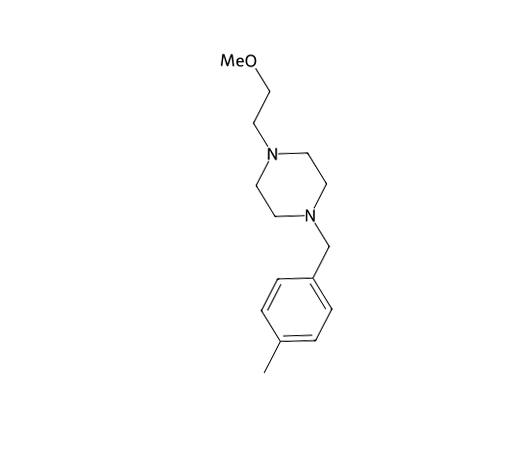 COCCN1CCN(Cc2ccc(C)cc2)CC1